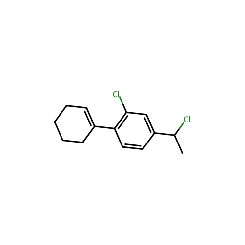 CC(Cl)c1ccc(C2=CCCCC2)c(Cl)c1